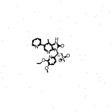 CCOc1nc([C@@H](CS(C)(=O)=O)n2c(=O)[nH]c3c(C)c(-c4ccccn4)cnc32)ccc1OC